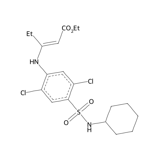 CCOC(=O)C=C(CC)Nc1cc(Cl)c(S(=O)(=O)NC2CCCCC2)cc1Cl